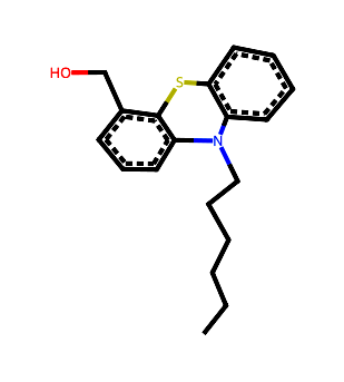 CCCCCCN1c2ccccc2Sc2c(CO)cccc21